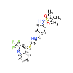 CC(C)(C)S(=O)(=O)N[C@H]1CC[C@H](CNCCSc2cc(C(F)(F)F)nc3ccccc23)CC1